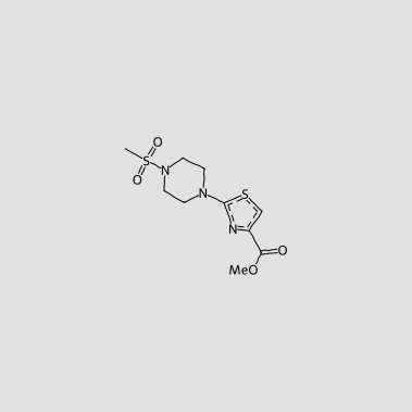 COC(=O)c1csc(N2CCN(S(C)(=O)=O)CC2)n1